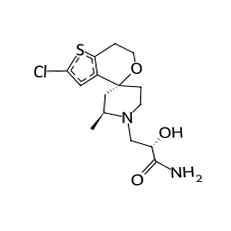 C[C@H]1C[C@@]2(CCN1C[C@H](O)C(N)=O)OCCc1sc(Cl)cc12